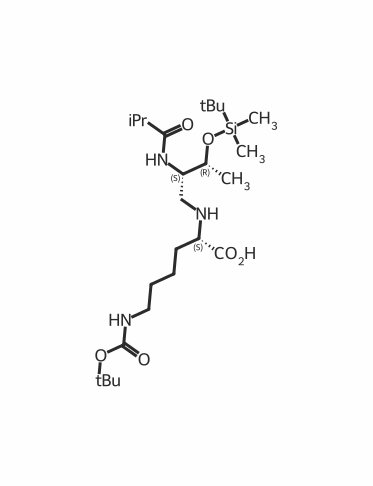 CC(C)C(=O)N[C@@H](CN[C@@H](CCCCNC(=O)OC(C)(C)C)C(=O)O)[C@@H](C)O[Si](C)(C)C(C)(C)C